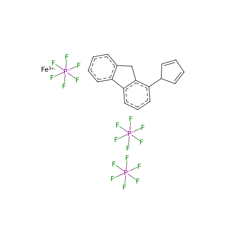 C1=CC(c2cccc3c2Cc2ccccc2-3)C=C1.F[P-](F)(F)(F)(F)F.F[P-](F)(F)(F)(F)F.F[P-](F)(F)(F)(F)F.[Fe+3]